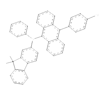 CC1(C)c2ccccc2-c2ccc(N(c3ccccc3)c3c4ccccc4c(-c4ccc(N)cc4)c4ccccc34)cc21